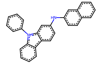 c1ccc(-n2c3ccccc3c3ccc(Nc4ccc5ccccc5c4)cc32)cc1